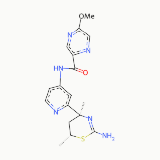 COc1cnc(C(=O)Nc2ccnc([C@]3(C)C[C@@H](C)SC(N)=N3)c2)cn1